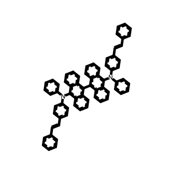 C(=Cc1ccc(N(c2ccccc2)c2c3ccccc3c(-c3c4ccccc4c(N(c4ccccc4)c4ccc(C=Cc5ccccc5)cc4)c4ccccc34)c3ccccc23)cc1)c1ccccc1